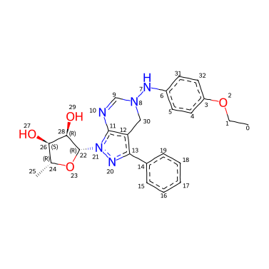 CCOc1ccc(NN2C=Nc3c(c(-c4ccccc4)nn3[C@@H]3O[C@H](C)[C@@H](O)[C@H]3O)C2)cc1